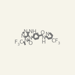 CC(n1c(=O)n(-c2ccc(C(=O)Nc3cc(C(F)(F)F)ccn3)cc2)c2c(N)ncnc21)C(F)(F)F